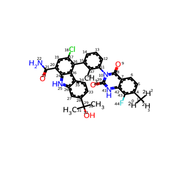 [2H]C([2H])([2H])c1ccc2c(=O)n(-c3cccc(-c4c(Cl)cc(C(N)=O)c5[nH]c6cc(C(C)(C)O)ccc6c45)c3C)c(=O)[nH]c2c1F